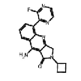 Nc1c2c(nc3c(-c4nccnc4F)cccc13)CN(C1CCC1)C2=O